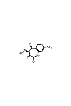 O=C1Nc2cc(C(F)(F)F)ccc2C(=O)C(=NO)C1=O